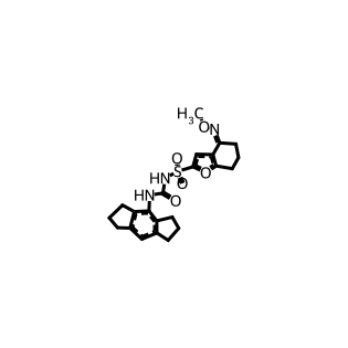 CO/N=C1/CCCc2oc(S(=O)(=O)NC(=O)Nc3c4c(cc5c3CCC5)CCC4)cc21